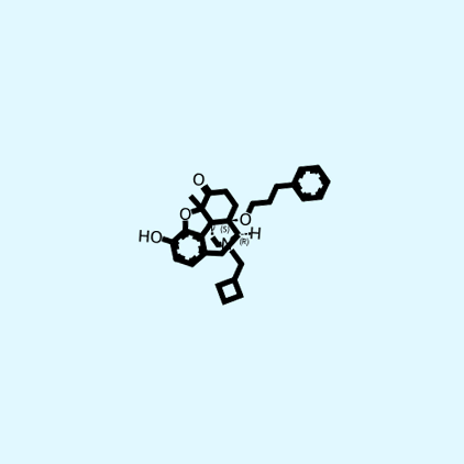 CC12Oc3c(O)ccc4c3[C@@]13CCN(CC1CCC1)[C@H](C4)[C@]3(OCCCc1ccccc1)CCC2=O